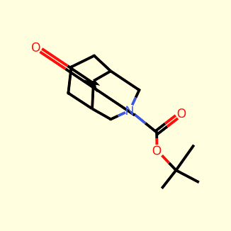 CC(C)(C)OC(=O)N1CC2CCCC(C1)C21CC(=O)C1